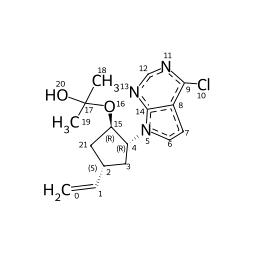 C=C[C@H]1C[C@@H](n2ccc3c(Cl)ncnc32)[C@H](OC(C)(C)O)C1